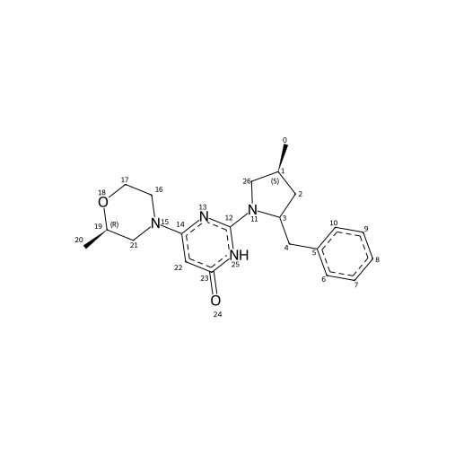 C[C@H]1CC(Cc2ccccc2)N(c2nc(N3CCO[C@H](C)C3)cc(=O)[nH]2)C1